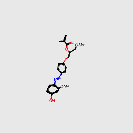 C=C(C)C(=O)OC(COC)COc1ccc(N=Nc2ccc(O)cc2OC)cc1